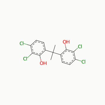 CC(C)(c1ccc(Cl)c(Cl)c1O)c1ccc(Cl)c(Cl)c1O